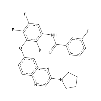 O=C(Nc1cc(F)c(F)c(Oc2ccc3ncc(N4CCCC4)nc3c2)c1F)c1cccc(F)c1